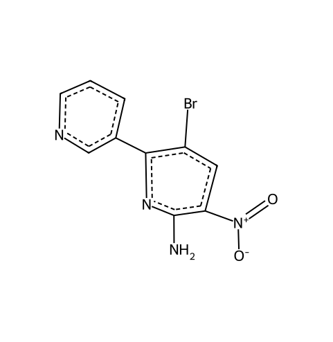 Nc1nc(-c2cccnc2)c(Br)cc1[N+](=O)[O-]